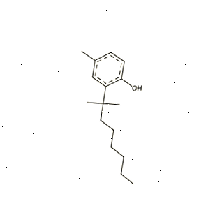 CCCCCCC(C)(C)c1cc(C)ccc1O